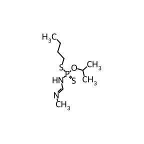 CCCCSP(=S)(NC=NC)OC(C)C